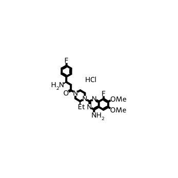 CC[C@H]1CN(C(=O)C[C@@H](N)c2ccc(F)cc2)CCN1c1nc(N)c2cc(OC)c(OC)c(F)c2n1.Cl